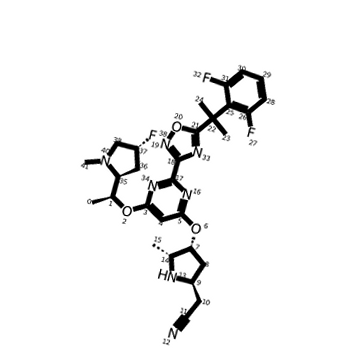 C[C@H](Oc1cc(O[C@@H]2C[C@@H](CC#N)N[C@@H]2C)nc(-c2noc(C(C)(C)c3c(F)cccc3F)n2)n1)[C@@H]1C[C@@H](F)CN1C